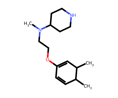 CC1C=CC(OCCN(C)C2CCNCC2)=CC1C